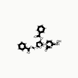 O=C(OC[C@@H]1C[C@@H](OC(=O)c2ccccc2)[C@H](n2ccc(NO)nc2=O)O1)c1ccccc1